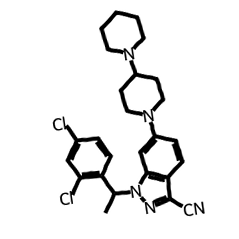 CC(c1ccc(Cl)cc1Cl)n1nc(C#N)c2ccc(N3CCC(N4CCCCC4)CC3)cc21